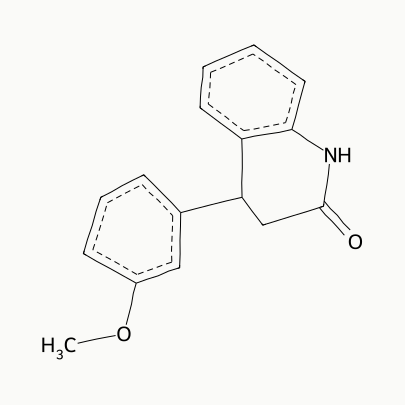 COc1cccc(C2CC(=O)Nc3ccccc32)c1